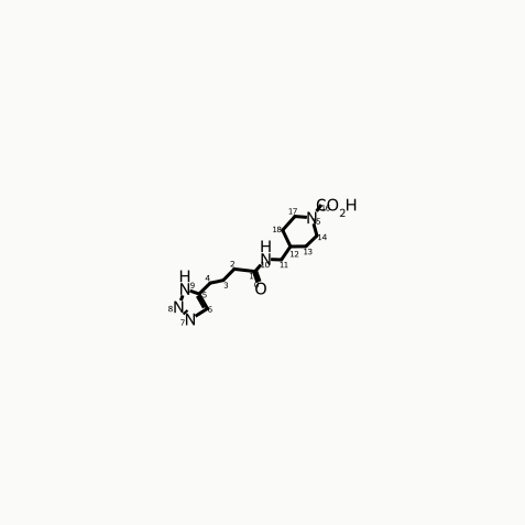 O=C(CCCc1cnn[nH]1)NCC1CCN(C(=O)O)CC1